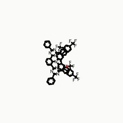 FC(F)(F)c1ccc(-c2ccc3c(c2)c2cc(-c4ccc(C(F)(F)F)cc4C(F)(F)F)ccc2n3-c2c(-c3nc(-c4ccccc4)nc(-c4ccccc4)n3)cccc2-c2nc(-c3ccccc3)nc(-c3ccccc3)n2)c(C(F)(F)F)c1